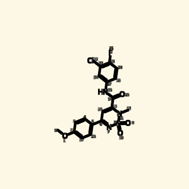 COc1ccc(C2=NS(=O)(=O)N(C)C(C(=O)Nc3ccc(F)c(Cl)c3)=C2)cc1